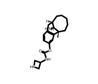 C[C@@]12CCCCC[C@@H](Cc3ccc(OC(=O)NC4CNC4)cc31)[C@@H]2N